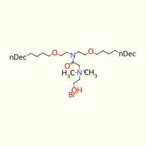 CCCCCCCCCCCCCCOCCN(CCOCCCCCCCCCCCCCC)C(=O)C[N+](C)(C)CCO.[Br-]